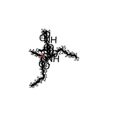 C=CCOP(=O)(OCCNC(=O)OC(C)(C)C)OCC(COCC[C@H](C)CCCCCCC)NC(=O)C[C@@H](CCCCCCC)OC(=O)CCC/C=C\CCCCCC